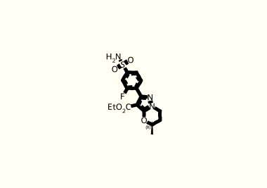 CCOC(=O)c1c(-c2ccc(S(N)(=O)=O)cc2F)nn2c1O[C@H](C)CC2